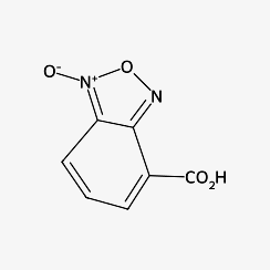 O=C(O)c1cccc2c1no[n+]2[O-]